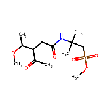 COC(C)C(CC(=O)NC(C)(C)CS(=O)(=O)OC)C(C)=O